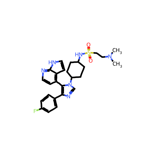 CN(C)CCS(=O)(=O)NC1CCC(n2cnc(-c3ccc(F)cc3)c2-c2ccnc3[nH]ccc23)CC1